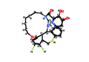 O=C1c2c(O)c(=O)ccn2N2CN1CCCCCCCOC1=CC(F)=C(F)C3CSc4ccccc4C2C13